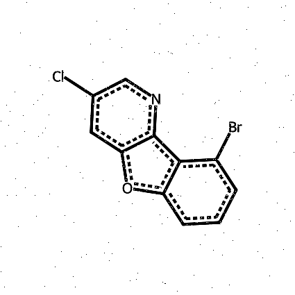 Clc1cnc2c(c1)oc1cccc(Br)c12